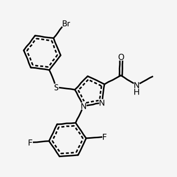 CNC(=O)c1cc(Sc2cccc(Br)c2)n(-c2cc(F)ccc2F)n1